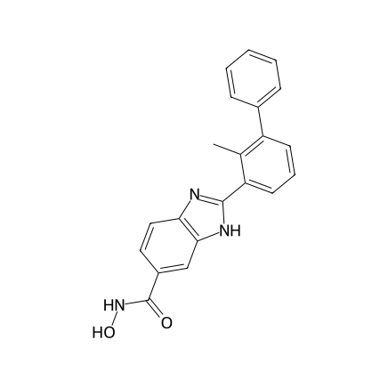 Cc1c(-c2ccccc2)cccc1-c1nc2ccc(C(=O)NO)cc2[nH]1